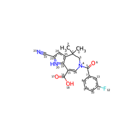 CC1(C)CN(C(=O)c2cccc(F)c2)C=C(C(=O)O)c2[nH]c(C#N)cc21